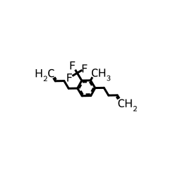 C=CCCc1ccc(CCC=C)c(C(F)(F)F)c1C